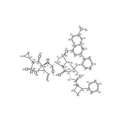 C=CC1C[C@]1(NC(=O)[C@@H]1C[C@@H](Oc2cc(-c3ccccc3)nc3cc(OC)ccc23)CN1C(=O)[C@@H](CC(=O)N1CCC1c1ccccc1)C(C)(C)C)C(=O)N(C1CC1)[SH](=O)=O